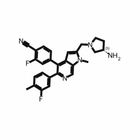 Cc1ccc(-c2ncc3c(cc(CN4CC[C@H](N)C4)n3C)c2-c2ccc(C#N)c(F)c2)cc1F